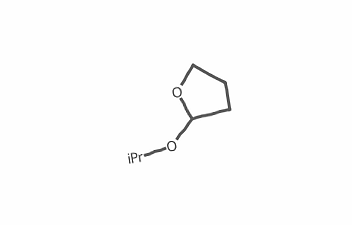 CC(C)OC1CCCO1